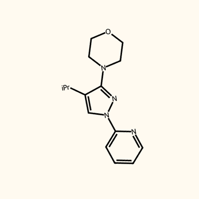 CC(C)c1cn(-c2ccccn2)nc1N1CCOCC1